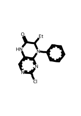 CCC1C(=O)Nc2cnc(Cl)nc2N1c1ccccc1